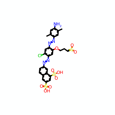 Cc1cc(N=Nc2cc(Cl)c(N=Nc3ccc4cc(S(=O)(=O)O)cc(S(=O)(=O)O)c4c3)cc2OCCC=S(=O)=O)c(C)cc1N